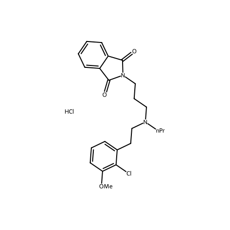 CCCN(CCCN1C(=O)c2ccccc2C1=O)CCc1cccc(OC)c1Cl.Cl